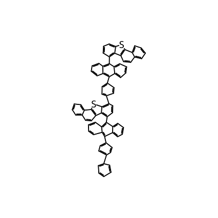 c1ccc(-c2ccc(-c3c4ccccc4c(-c4ccc(-c5ccc(-c6c7ccccc7c(-c7cccc8sc9c%10ccccc%10ccc9c78)c7ccccc67)cc5)c5sc6c7ccccc7ccc6c45)c4ccccc34)cc2)cc1